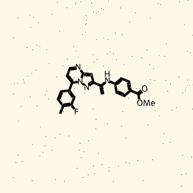 C=C(Nc1ccc(C(=O)OC)cc1)c1cc2nccc(-c3ccc(C)c(F)c3)n2n1